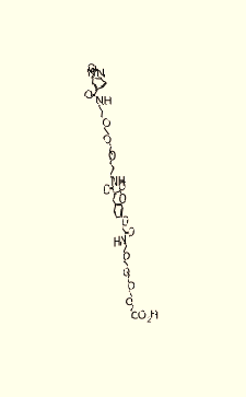 O=C(O)CCOCCOCCOCCOCCNC(=O)COc1ccc2cc(C(=O)NCCCOCCOCCOCCCNC(=O)c3ccc4nonc4c3)c(=O)oc2c1